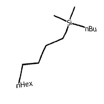 [CH2]CCCCCCCCC[Si](C)(C)CCCC